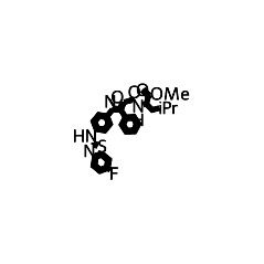 COC(=O)C(CC(C)C)NC(=O)c1onc(-c2ccc(Nc3nc4ccc(F)cc4s3)cc2)c1-c1ccccc1